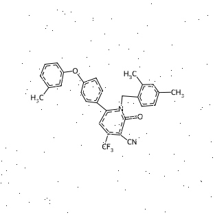 Cc1cccc(Oc2ccc(-c3cc(C(F)(F)F)c(C#N)c(=O)n3Cc3ccc(C)cc3C)cc2)c1